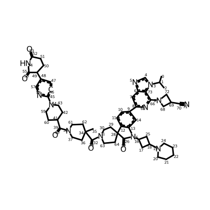 CC(C)n1cnc2cc(-c3ccc4c(c3)N(C3CC(N5CCCCC5)C3)C(=O)C43CCN(C(=O)C4(C)CCN(C(=O)C5CCN(c6ccc(C7CCC(=O)NC7=O)cn6)CC5)CC4)CC3)nc(N3CC(C#N)C3)c21